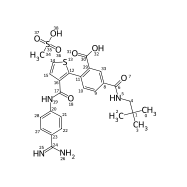 CC(C)(C)CNC(=O)c1ccc(-c2sccc2C(=O)Nc2ccc(C(=N)N)cc2)c(C(=O)O)c1.CS(=O)(=O)O